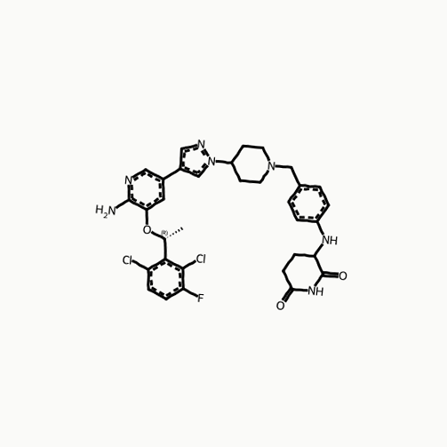 C[C@@H](Oc1cc(-c2cnn(C3CCN(Cc4ccc(NC5CCC(=O)NC5=O)cc4)CC3)c2)cnc1N)c1c(Cl)ccc(F)c1Cl